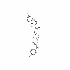 Cc1ccc(NC(=O)CN2CCN(CC(O)C3COc4cc(C)ccc4O3)CC2)cc1